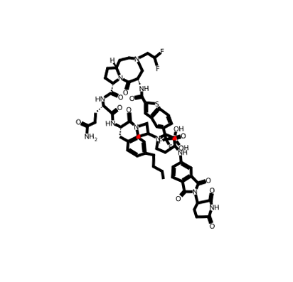 CCCCc1ccc(C[C@H](NC(=O)[C@H](CCC(N)=O)NC(=O)[C@@H]2CC[C@@H]3CCN(CC(F)F)C[C@H](NC(=O)c4cc5cc(C(F)(F)P(=O)(O)O)ccc5s4)C(=O)N32)C(=O)N2CC(N3CCC(Nc4ccc5c(c4)C(=O)N(C4CCC(=O)NC4=O)C5=O)CC3)C2)cc1